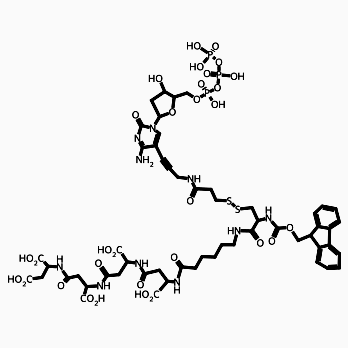 Nc1nc(=O)n(C2CC(O)C(COP(=O)(O)OP(=O)(O)OP(=O)(O)O)O2)cc1C#CCNC(=O)CCSSCC(NC(=O)OCC1c2ccccc2-c2ccccc21)C(=O)NCCCCCC(=O)NC(CC(=O)NC(CC(=O)NC(CC(=O)NC(CC(=O)O)C(=O)O)C(=O)O)C(=O)O)C(=O)O